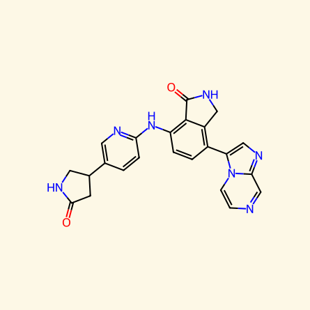 O=C1CC(c2ccc(Nc3ccc(-c4cnc5cnccn45)c4c3C(=O)NC4)nc2)CN1